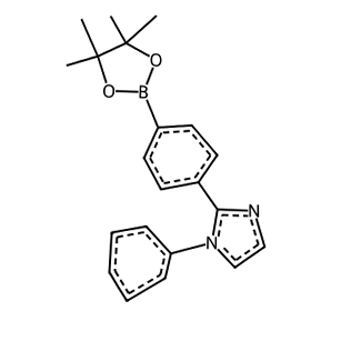 CC1(C)OB(c2ccc(-c3nccn3-c3ccccc3)cc2)OC1(C)C